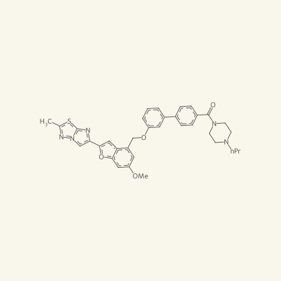 CCCN1CCN(C(=O)c2ccc(-c3cccc(OCc4cc(OC)cc5oc(-c6cn7nc(C)sc7n6)cc45)c3)cc2)CC1